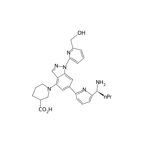 CCC[C@H](N)c1cccc(-c2cc(N3CCCC(C(=O)O)C3)c3cnn(-c4cccc(CO)n4)c3c2)n1